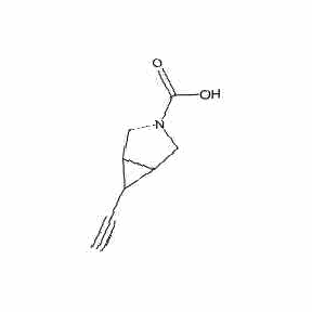 C#CC1C2CN(C(=O)O)CC12